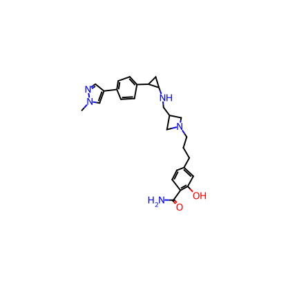 Cn1cc(-c2ccc(C3CC3NCC3CN(CCCc4ccc(C(N)=O)c(O)c4)C3)cc2)cn1